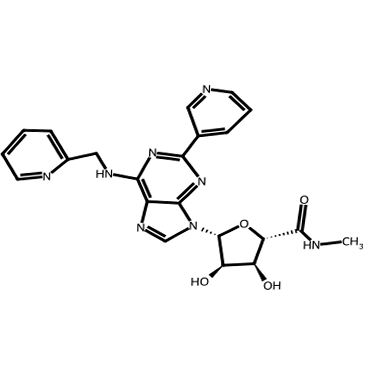 CNC(=O)[C@H]1O[C@@H](n2cnc3c(NCc4ccccn4)nc(-c4cccnc4)nc32)[C@H](O)[C@@H]1O